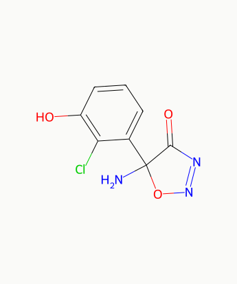 NC1(c2cccc(O)c2Cl)ON=NC1=O